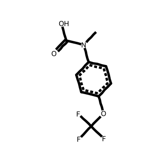 CN(C(=O)O)c1ccc(OC(F)(F)F)cc1